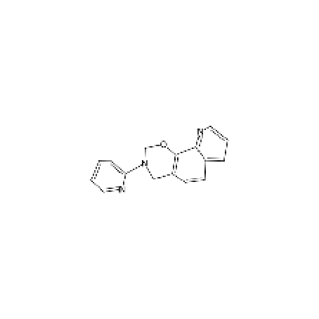 c1ccc(N2COc3c(ccc4cccnc34)C2)nc1